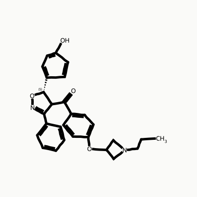 CCCN1CC(Oc2ccc(C(=O)C3C(c4ccccc4)=NO[C@@H]3c3ccc(O)cc3)cc2)C1